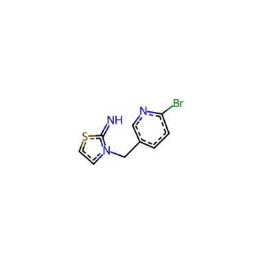 N=c1sccn1Cc1ccc(Br)nc1